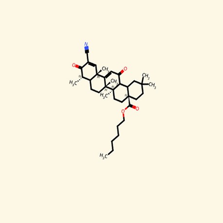 CCCCCCOC(=O)[C@]12CCC(C)(C)CC1C1C(=O)C=C3[C@@]4(C)C=C(C#N)C(=O)[C@@H](C)C4CC[C@@]3(C)[C@]1(C)CC2